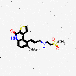 COc1ccc2[nH]c(=O)c3sccc3c2c1/C=C/CNCCS(C)(=O)=O